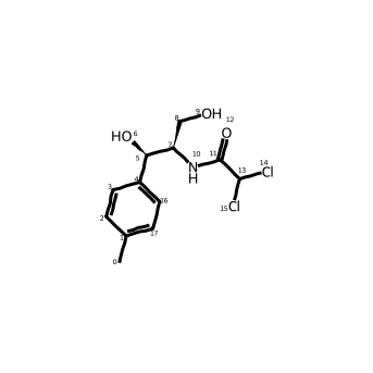 Cc1ccc([C@@H](O)[C@@H](CO)NC(=O)C(Cl)Cl)cc1